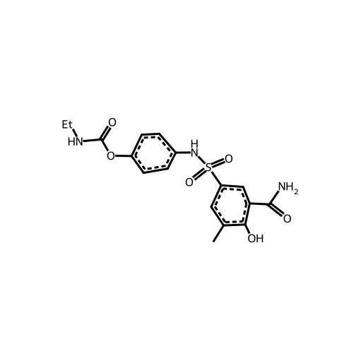 CCNC(=O)Oc1ccc(NS(=O)(=O)c2cc(C)c(O)c(C(N)=O)c2)cc1